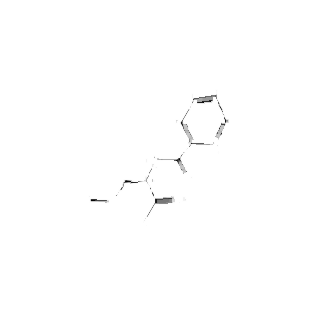 COC[C@@H](NC(=O)c1ccccn1)C(C)=O